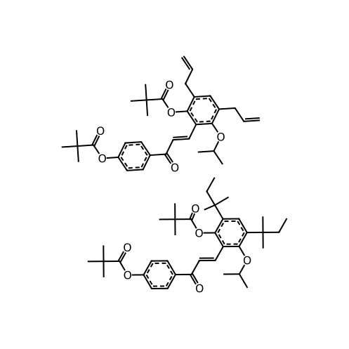 C=CCc1cc(CC=C)c(OC(C)C)c(C=CC(=O)c2ccc(OC(=O)C(C)(C)C)cc2)c1OC(=O)C(C)(C)C.CCC(C)(C)c1cc(C(C)(C)CC)c(OC(C)C)c(C=CC(=O)c2ccc(OC(=O)C(C)(C)C)cc2)c1OC(=O)C(C)(C)C